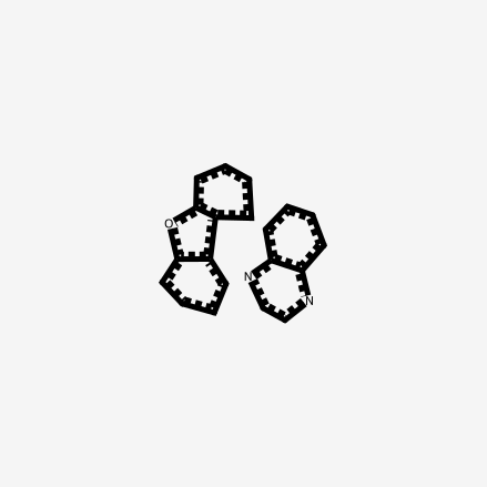 c1ccc2c(c1)oc1ccccc12.c1ccc2nccnc2c1